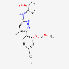 CC#Cc1ccc(-c2nnc(N[C@@H]3CCCC[C@@H]3O)cc2C)c(OCOCC)c1